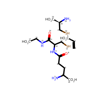 C=CC(=O)O.NC(CCC(=O)NC(CS)C(=O)NCC(=O)O)C(=O)O.N[C@@H](CS)C(=O)O